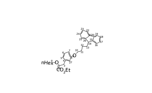 CCCCCCOC(Cc1cccc(OCCCCC2c3ccccc3-c3ccccc32)c1)C(=O)OCC